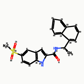 C[C@@H](NC(=O)c1cc2cc(S(C)(=O)=O)ccc2[nH]1)c1cccc2ccccc12